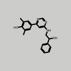 Cc1cc(-c2cc(NCC(O)c3ccccc3)ncn2)cc(C)c1O